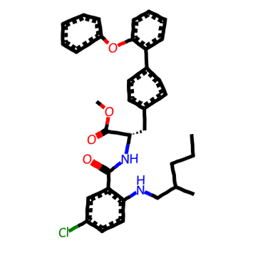 CCCC(C)CNc1ccc(Cl)cc1C(=O)N[C@@H](Cc1ccc(-c2ccccc2Oc2ccccc2)cc1)C(=O)OC